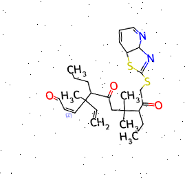 C=CC(C)(/C=C\C=O)C(CCC)C(=O)CC(C)(C)C(CC)C(=O)CSC1=NC2N=CC=CC2S1